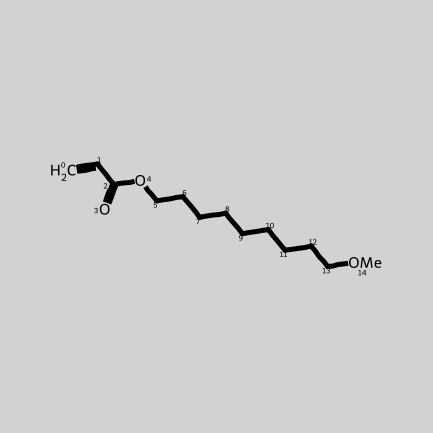 C=CC(=O)OCCCCCCCCCOC